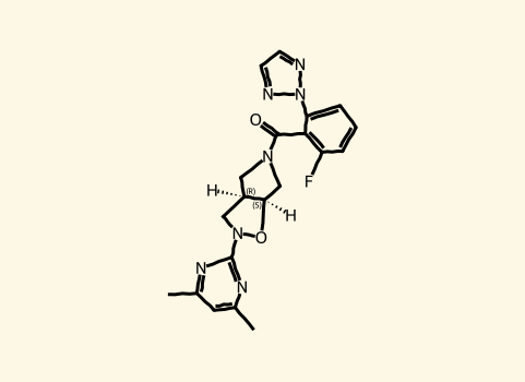 Cc1cc(C)nc(N2C[C@H]3CN(C(=O)c4c(F)cccc4-n4nccn4)C[C@H]3O2)n1